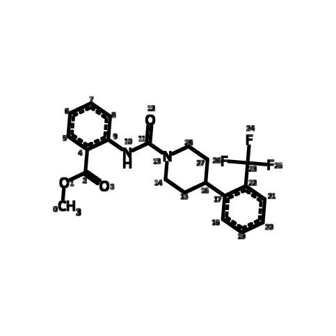 COC(=O)c1ccccc1NC(=O)N1CCC(c2ccccc2C(F)(F)F)CC1